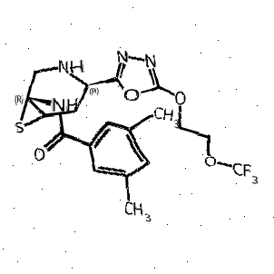 Cc1cc(C)cc(C(=O)N[C@@]23CN[C@@H](c4nnc(OCCOC(F)(F)F)o4)CC2S3)c1